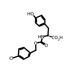 O=C(N[C@@H](Cc1ccc(O)cc1)C(=O)O)OCc1ccc(Cl)cc1